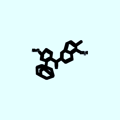 COc1ccc(C(=O)c2ccc3c(C(=O)O)c(C)ccc3c2)c(C23CC4CC(CC(C4)C2)C3)c1